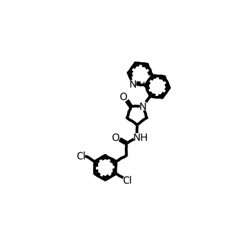 O=C(Cc1cc(Cl)ccc1Cl)NC1CC(=O)N(c2cccc3cccnc23)C1